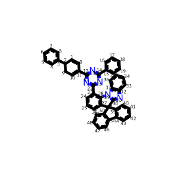 C1=CC(c2ccccc2)CC=C1c1nc(-c2ccccc2)nc(-c2cccc3c2-n2c(nc4ccccc42)C32c3ccccc3-c3ccccc32)n1